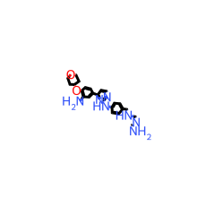 NC/N=C\NCc1ccc(Nc2nccc(-c3ccc(OC4CCOCC4)c(N)c3)n2)cc1